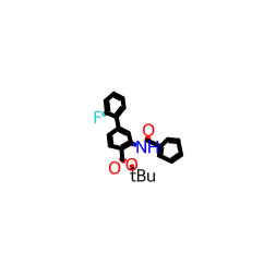 CC(C)(C)OC(=O)c1ccc(-c2ccccc2F)cc1NC(=O)c1ccccc1